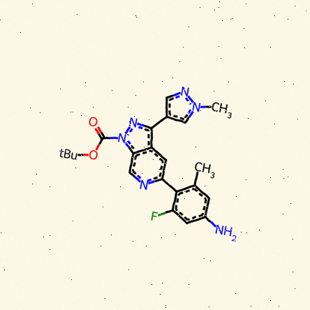 Cc1cc(N)cc(F)c1-c1cc2c(-c3cnn(C)c3)nn(C(=O)OC(C)(C)C)c2cn1